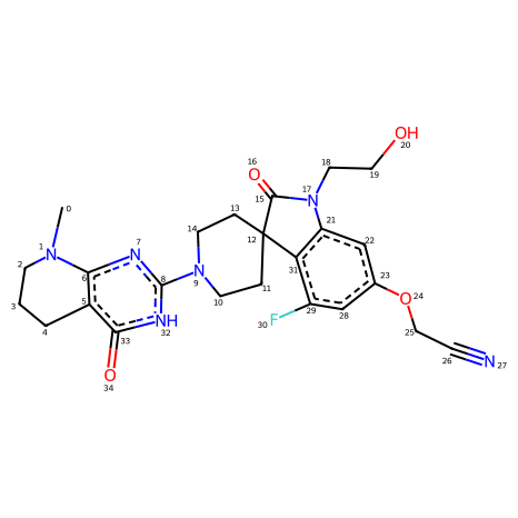 CN1CCCc2c1nc(N1CCC3(CC1)C(=O)N(CCO)c1cc(OCC#N)cc(F)c13)[nH]c2=O